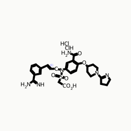 Cl.Cl.N=C(N)c1cccc(/C=C/CN(c2ccc(OC3CCN(C4=NCCC4)CC3)c(C(N)=O)c2)S(=O)(=O)CC(=O)O)c1